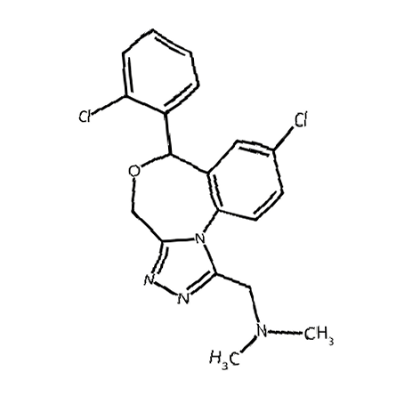 CN(C)Cc1nnc2n1-c1ccc(Cl)cc1C(c1ccccc1Cl)OC2